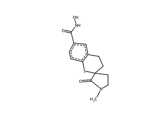 CN1CCC2(CCc3cc(C(=O)NO)ccc3S2)C1=O